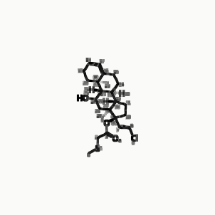 CSCC(=O)O[C@]1(C=CCl)CC[C@H]2[C@@H]3CCC4=C=CCC[C@]4(C)[C@H]3C(O)C[C@@]21C